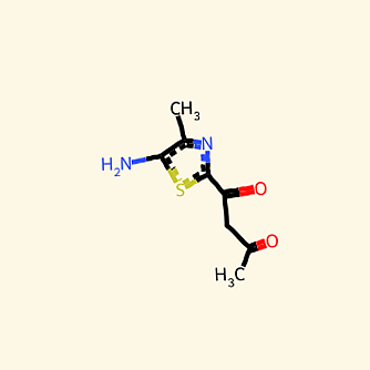 CC(=O)CC(=O)c1nc(C)c(N)s1